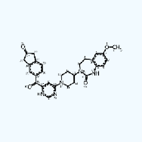 COc1ccc2c(c1)CCN(C1CCN(c3cc(C(=O)c4ccc5c(c4)CC(=O)C5)ncn3)CC1)C(=O)N2